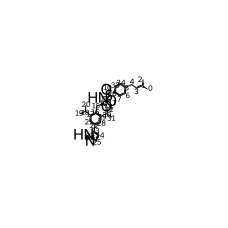 CC(C)=CCc1ccc(S(=O)(=O)NC(=O)Cc2c(C(C)C)cc(-c3ccn[nH]3)cc2C(C)C)cc1